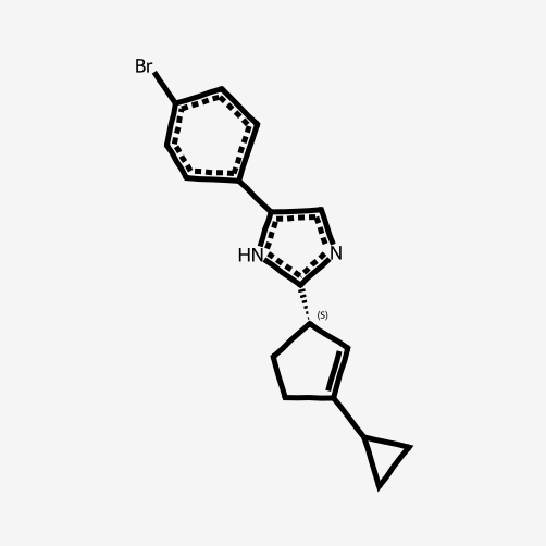 Brc1ccc(-c2cnc([C@@H]3C=C(C4CC4)CC3)[nH]2)cc1